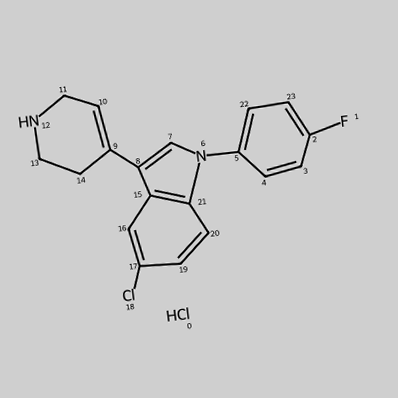 Cl.Fc1ccc(-n2cc(C3=CCNCC3)c3cc(Cl)ccc32)cc1